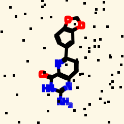 Nc1nc2ccc(-c3ccc4c(c3)OCO4)nc2c(=O)[nH]1